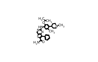 Cc1cc(Nc2ncc3sc(C(N)=O)c(-c4ccccc4)c3n2)c(OC(C)C)cc1C1CCN(C)CC1